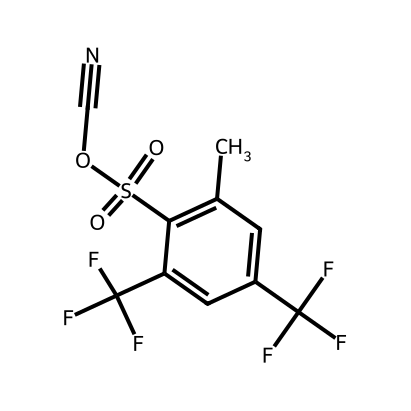 Cc1cc(C(F)(F)F)cc(C(F)(F)F)c1S(=O)(=O)OC#N